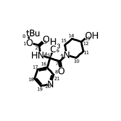 CC(C)(C)OC(=O)N[C@](C)(C(=O)N1CCC(O)CC1)c1cccnc1